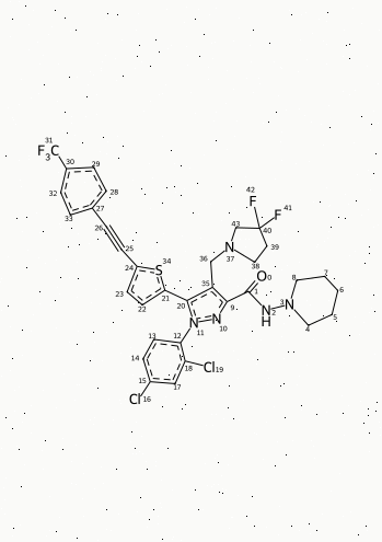 O=C(NN1CCCCC1)c1nn(-c2ccc(Cl)cc2Cl)c(-c2ccc(C#Cc3ccc(C(F)(F)F)cc3)s2)c1CN1CCC(F)(F)C1